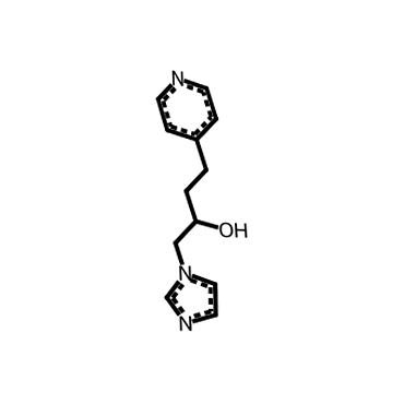 OC(CCc1ccncc1)Cn1ccnc1